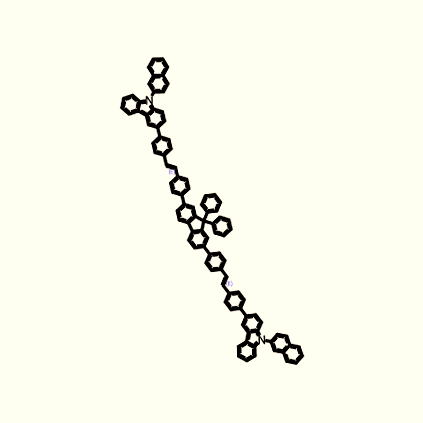 C(=C\c1ccc(-c2ccc3c(c2)c2ccccc2n3-c2ccc3ccccc3c2)cc1)/c1ccc(-c2ccc3c(c2)C(c2ccccc2)(c2ccccc2)c2cc(-c4ccc(/C=C/c5ccc(-c6ccc7c(c6)c6ccccc6n7-c6ccc7ccccc7c6)cc5)cc4)ccc2-3)cc1